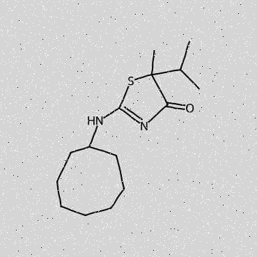 CC(C)C1(C)SC(NC2CCCCCCC2)=NC1=O